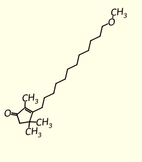 COCCCCCCCCCCCCC1=C(C)C(=O)CC1(C)C